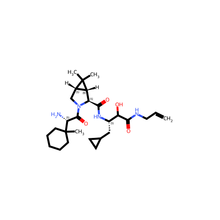 C=CCNC(=O)C(O)[C@H](CC1CC1)NC(=O)[C@@H]1[C@@H]2[C@H](CN1C(=O)[C@@H](N)C1(C)CCCCC1)C2(C)C